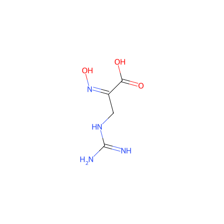 N=C(N)NCC(=NO)C(=O)O